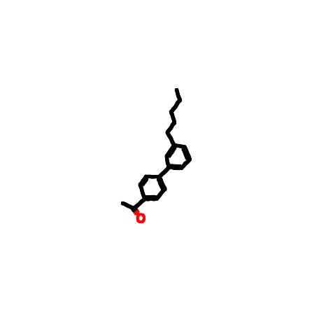 CCCCCc1cccc(-c2ccc(C(C)=O)cc2)c1